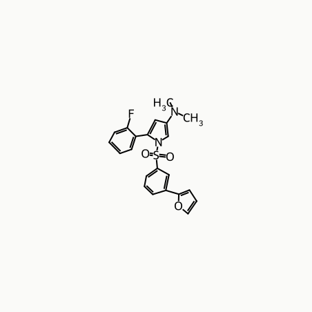 CN(C)c1cc(-c2ccccc2F)n(S(=O)(=O)c2cccc(-c3ccco3)c2)c1